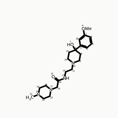 COc1cccc(C2(O)CCN(CCNC(=O)CN3CCN(C)CC3)CC2)c1